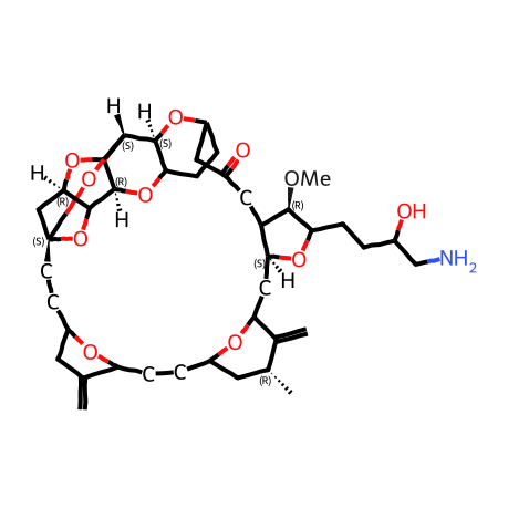 C=C1CC2CC[C@@]34C[C@H]5OC6[C@@H](OC7CCC(CC(=O)CC8[C@@H](OC)C(CCC(O)CN)O[C@H]8CC8OC(CCC1O2)C[C@@H](C)C8=C)O[C@@H]7[C@@H]6O3)C5O4